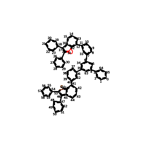 c1ccc(-c2cc(-c3cccc(-c4cccc5c(-c6ccccc6)c(-c6ccccc6)oc45)c3)cc(-c3cccc(-c4cccc5c(-c6ccccc6)c(-c6ccccc6)sc45)c3)c2)cc1